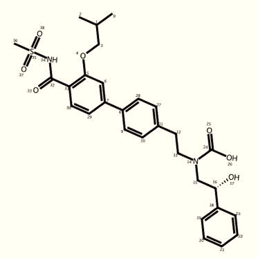 CC(C)COc1cc(-c2ccc(CCN(C[C@H](O)c3ccccc3)C(=O)O)cc2)ccc1C(=O)NS(C)(=O)=O